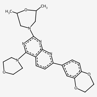 CC1CN(c2nc(N3CCOCC3)c3ccc(-c4ccc5c(c4)OCCO5)nc3n2)CC(C)O1